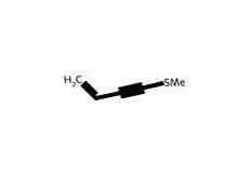 C=CC#CSC